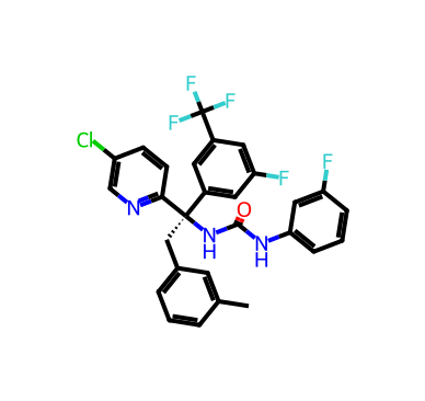 Cc1cccc(C[C@@](NC(=O)Nc2cccc(F)c2)(c2cc(F)cc(C(F)(F)F)c2)c2ccc(Cl)cn2)c1